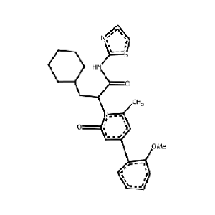 COc1ccccc1-c1cc(C)n(C(CC2CCCCC2)C(=O)Nc2nccs2)c(=O)c1